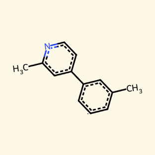 Cc1c[c]cc(-c2ccnc(C)c2)c1